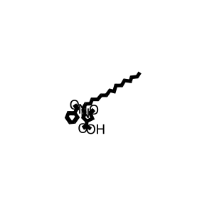 CCCCCCCCCCCCCCCN(C(=O)c1ccccc1)N1CC(C(=O)O)CC1=O